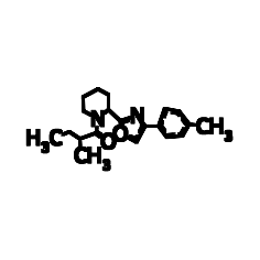 CCC(C)C(=O)N1CCCCC1c1nc(-c2ccc(C)cc2)co1